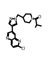 CC(C)C(=O)N1CCC(Cn2cc(-c3cnc4ccc(Cl)nc4c3)cn2)CC1